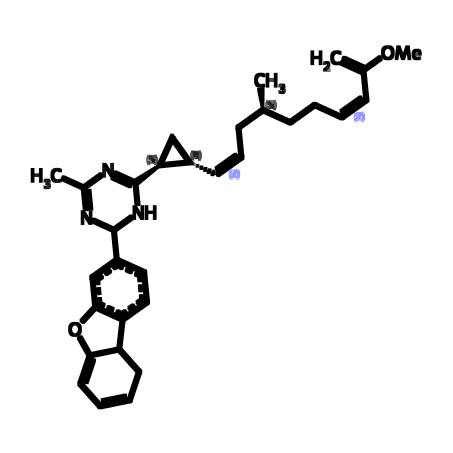 C=C(/C=C\CC[C@H](C)C/C=C\[C@H]1C[C@@H]1C1=NC(C)=NC(c2ccc3c(c2)OC2=CC=CCC23)N1)OC